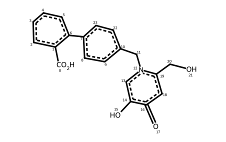 O=C(O)c1ccccc1-c1ccc(Cn2cc(O)c(=O)cc2CO)cc1